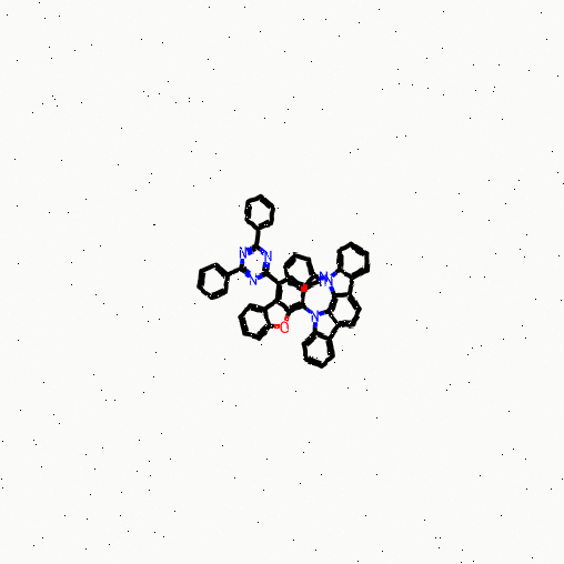 N#Cc1cc(-c2nc(-c3ccccc3)nc(-c3ccccc3)n2)c2c(oc3ccccc32)c1-n1c2ccccc2c2ccc3c4ccccc4n(-c4ccccc4)c3c21